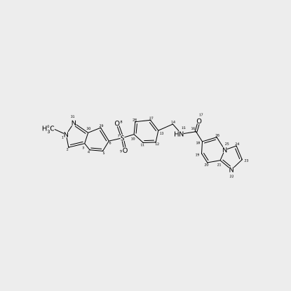 Cn1cc2ccc(S(=O)(=O)c3ccc(CNC(=O)c4ccc5nccn5c4)cc3)cc2n1